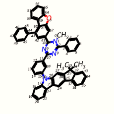 CN1C(c2ccccc2)=NC(c2cccc(-n3c4ccccc4c4cc5c(cc43)C(C)(C)c3ccccc3-5)c2)=NC1c1cc(-c2ccccc2)c2c(c1)oc1ccccc12